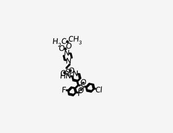 C=C(C)OC(=O)N1CCN(CCS(=O)(=O)Nc2cc(C(c3cc(F)ccc3F)S(=O)(=O)c3ccc(Cl)cc3)ccn2)CC1